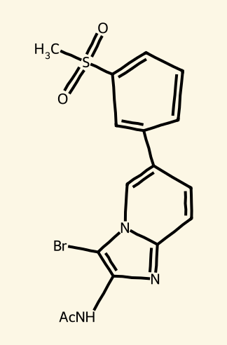 CC(=O)Nc1nc2ccc(-c3cccc(S(C)(=O)=O)c3)cn2c1Br